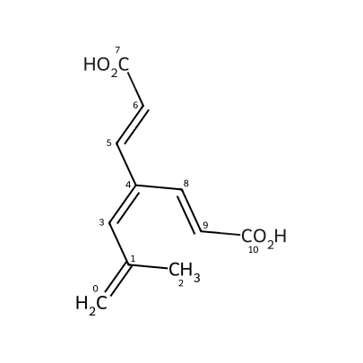 C=C(C)C=C(C=CC(=O)O)C=CC(=O)O